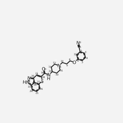 N#Cc1cccc(OCCCN2CCC(NC(=O)C3=Cc4n[nH]c5cccc(c45)S3)CC2)c1